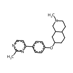 Cc1nccc(-c2ccc(OC3CCC4CCN(C)CC4C3)cc2)n1